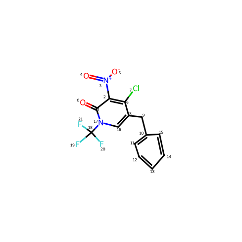 O=c1c([N+](=O)[O-])c(Cl)c(Cc2ccccc2)cn1C(F)(F)F